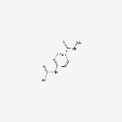 CC(C)(C)NC(=O)c1ccc(NC(=O)C(C)(C)C)cc1